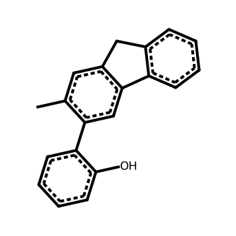 Cc1cc2c(cc1-c1ccccc1O)-c1ccccc1C2